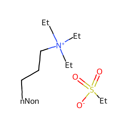 CCCCCCCCCCCC[N+](CC)(CC)CC.CCS(=O)(=O)[O-]